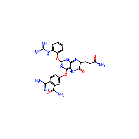 N=C(N)Nc1ccccc1OC1=NC(Oc2ccc(C(=N)N)c(C(N)=O)c2)=C2NC(=O)C(CCC(N)=O)N=C2N1